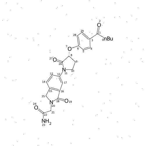 CCCCC(=O)c1ccc(O[C@@H]2CCN(c3ccc4c(c3)C(=O)N(CC(N)=O)C4)C2=O)cc1